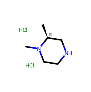 C[C@H]1CNCCN1C.Cl.Cl